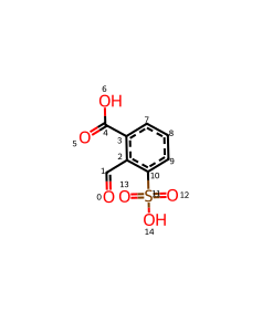 O=Cc1c(C(=O)O)cccc1S(=O)(=O)O